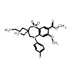 CCCCC1(CC)CN(c2ccc(F)cc2)c2cc(OC)c(C(=O)OC)cc2S(=O)(=O)C1